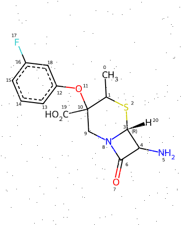 CC1S[C@@H]2C(N)C(=O)N2CC1(Oc1cccc(F)c1)C(=O)O